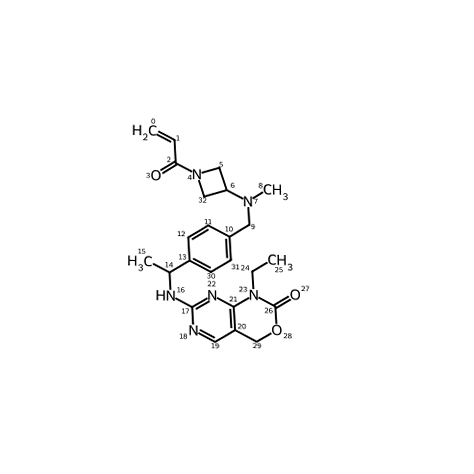 C=CC(=O)N1CC(N(C)Cc2ccc(C(C)Nc3ncc4c(n3)N(CC)C(=O)OC4)cc2)C1